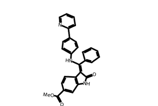 COC(=O)c1ccc2c(c1)NC(=O)C2=C(Nc1ccc(-c2ccccn2)cc1)c1ccccc1